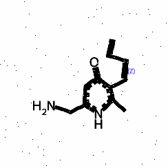 C=C/C=C\c1c(C)[nH]c(CN)cc1=O